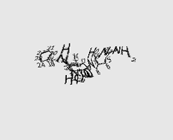 Cc1nc(N)ccc1CNC(=O)Cc1c(C)c(NCc2ccccc2)c[nH]c1=O.Cl